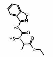 CCOC(=O)C(C)N(S)C(=O)Nc1noc2ccccc12